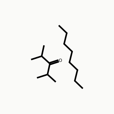 CC(C)C(=O)C(C)C.CCCCCCCC